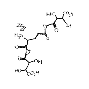 N[C@@H](CCC(=O)OC(=O)C(O)C(O)C(=O)O)C(=O)OC(=O)C(O)C(O)C(=O)O.[Zr].[Zr]